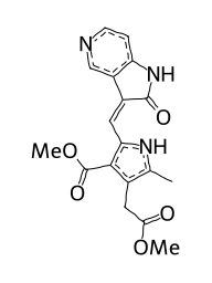 COC(=O)Cc1c(C)[nH]c(C=C2C(=O)Nc3ccncc32)c1C(=O)OC